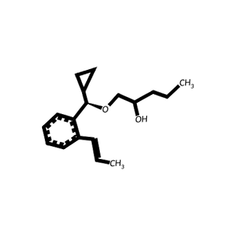 C/C=C/c1ccccc1[C@H](OCC(O)CCC)C1CC1